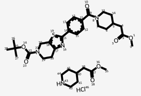 COC(=O)CC1CCN(C(=O)c2ccc(-c3nc4c(s3)CN(C(=O)OC(C)(C)C)CC4)cc2)CC1.COC(=O)CC1CCNCC1.Cl